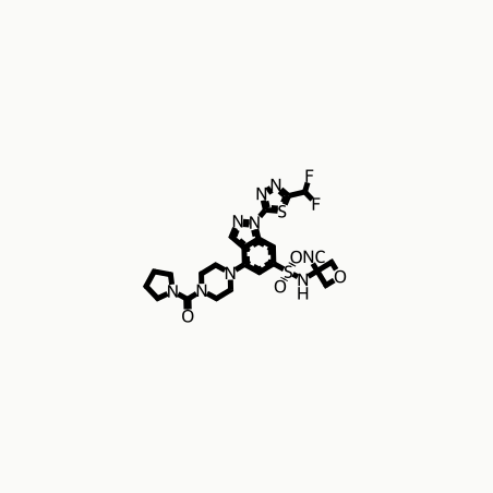 N#CC1(NS(=O)(=O)c2cc(N3CCN(C(=O)N4CCCC4)CC3)c3cnn(-c4nnc(C(F)F)s4)c3c2)COC1